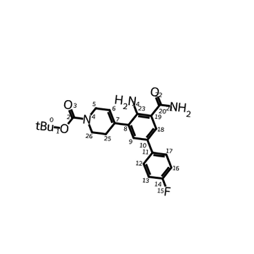 CC(C)(C)OC(=O)N1CC=C(c2cc(-c3ccc(F)cc3)cc(C(N)=O)c2N)CC1